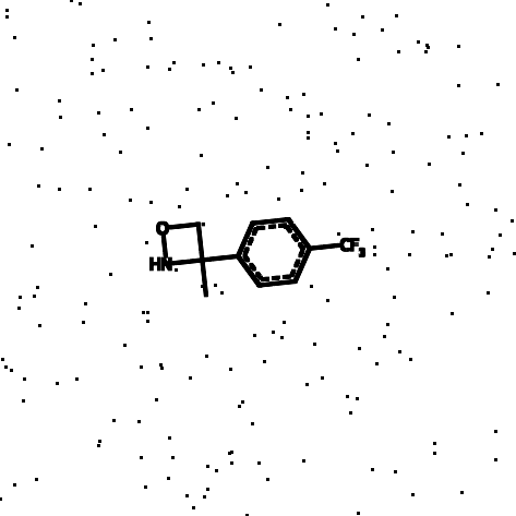 CC1(c2ccc(C(F)(F)F)cc2)[CH]ON1